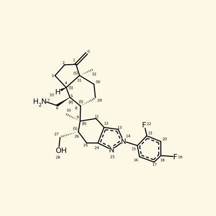 C=C1CC[C@H]2[C@H](CN)[C@@H]([C@@]3(C)Cc4cn(-c5ccc(F)cc5F)nc4C[C@@H]3CO)CC[C@]12C